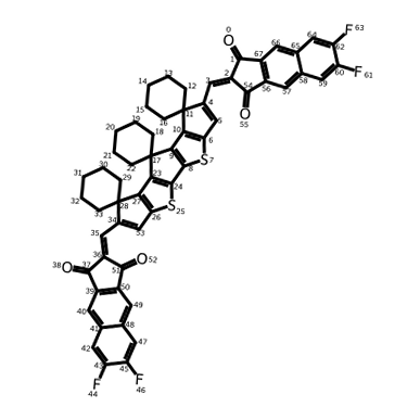 O=C1C(=CC2=Cc3sc4c(c3C23CCCCC3)C2(CCCCC2)c2c-4sc3c2C2(CCCCC2)C(C=C2C(=O)c4cc5cc(F)c(F)cc5cc4C2=O)=C3)C(=O)c2cc3cc(F)c(F)cc3cc21